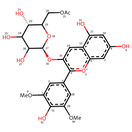 COc1cc(-c2[o+]c3cc(O)cc(O)c3cc2O[C@@H]2OC(COC(C)=O)[C@@H](O)C(O)C2O)cc(OC)c1O